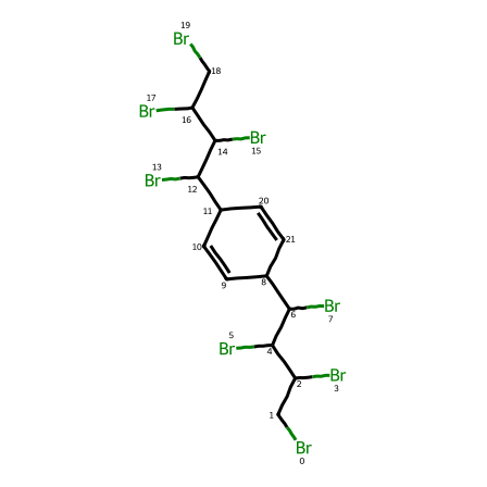 BrCC(Br)C(Br)C(Br)C1C=CC(C(Br)C(Br)C(Br)CBr)C=C1